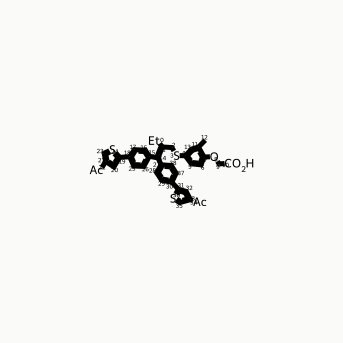 CCC(CSc1ccc(OCC(=O)O)c(C)c1)=C(c1ccc(-c2cc(C(C)=O)cs2)cc1)c1ccc(-c2cc(C(C)=O)cs2)cc1